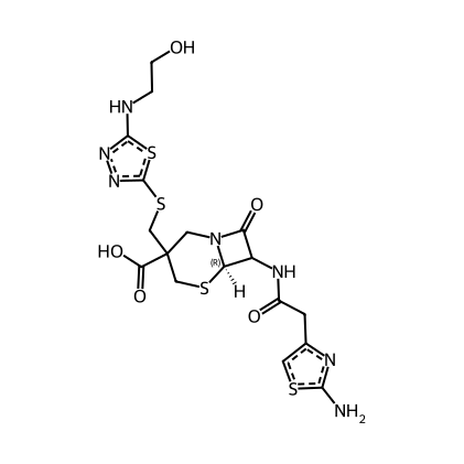 Nc1nc(CC(=O)NC2C(=O)N3CC(CSc4nnc(NCCO)s4)(C(=O)O)CS[C@H]23)cs1